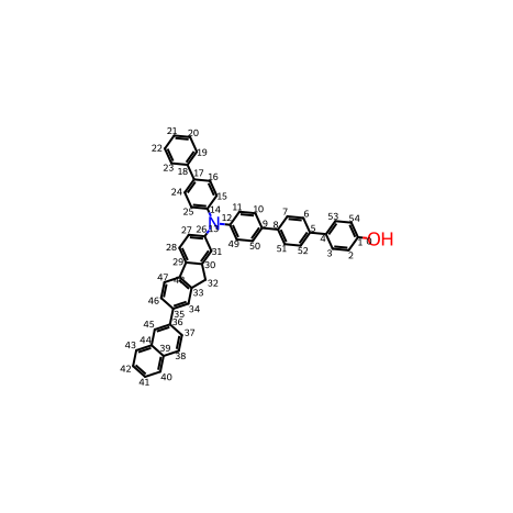 Oc1ccc(-c2ccc(-c3ccc(N(c4ccc(-c5ccccc5)cc4)c4ccc5c(c4)Cc4cc(-c6ccc7ccccc7c6)ccc4-5)cc3)cc2)cc1